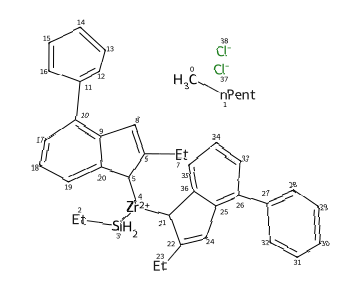 CCCCCC.CC[SiH2][Zr+2]([CH]1C(CC)=Cc2c(-c3ccccc3)cccc21)[CH]1C(CC)=Cc2c(-c3ccccc3)cccc21.[Cl-].[Cl-]